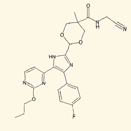 CCCOc1nccc(-c2[nH]c(C3OCC(C)(C(=O)NCC#N)CO3)nc2-c2ccc(F)cc2)n1